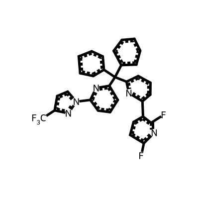 Fc1ccc(-c2cccc(C(c3ccccc3)(c3ccccc3)c3cccc(-n4ccc(C(F)(F)F)n4)n3)n2)c(F)n1